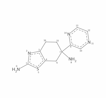 Nc1nc2c(s1)CC(N)(c1cnccn1)CC2